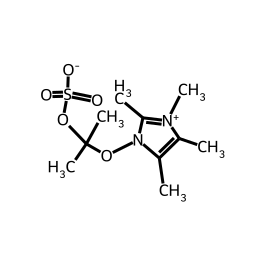 Cc1c(C)[n+](C)c(C)n1OC(C)(C)OS(=O)(=O)[O-]